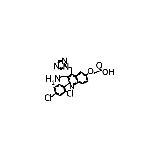 NCc1c(-c2ccc(Cl)cc2Cl)nc2ccc(OCC(=O)O)cc2c1Cn1cncn1